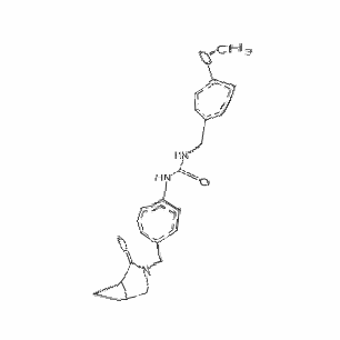 COc1ccc(CNC(=O)Nc2ccc(CN3CC4CC4C3=O)cc2)cc1